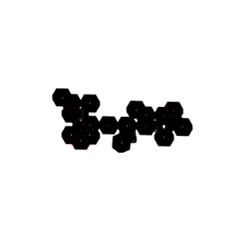 c1ccc(-c2cc(-c3ccc(-c4ccc(-c5ccc(N(c6ccccc6-c6ccc7ccccc7c6)c6ccccc6-c6cc7ccccc7c7ccccc67)cc5)c5sc6ccccc6c45)cc3)cc(N(c3ccccc3-c3ccc4ccccc4c3)c3ccccc3-c3cc4ccccc4c4ccccc34)c2)cc1